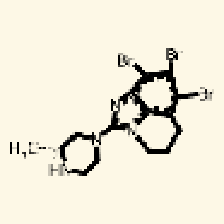 C[C@@H]1CN(c2nc3c(Br)c(Br)c(Br)c4c3n2CCC4)CCN1